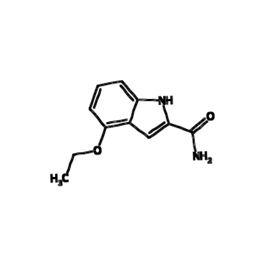 CCOc1cccc2[nH]c(C(N)=O)cc12